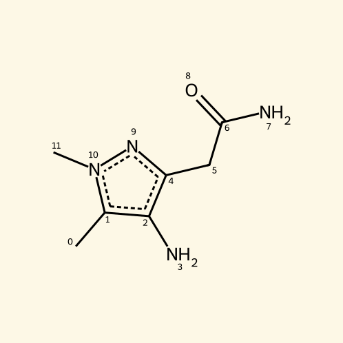 Cc1c(N)c(CC(N)=O)nn1C